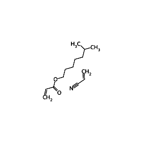 C=CC#N.C=CC(=O)OCCCCCC(C)C